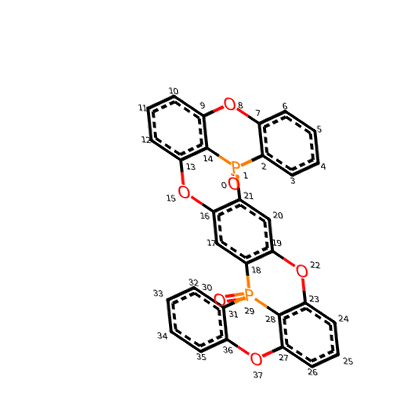 O=P12c3ccccc3Oc3cccc(c31)Oc1cc3c(cc12)Oc1cccc2c1P3(=O)c1ccccc1O2